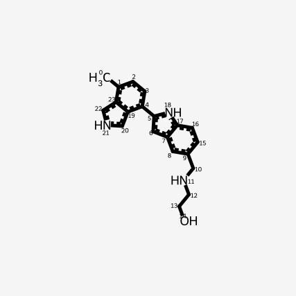 Cc1ccc(-c2cc3cc(CNCCO)ccc3[nH]2)c2c[nH]cc12